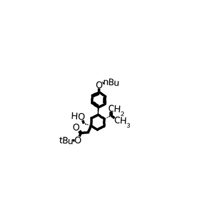 C=C(C)[C@@H]1CC[C@@](CO)(CC(=O)OC(C)(C)C)C[C@H]1c1ccc(OCCCC)cc1